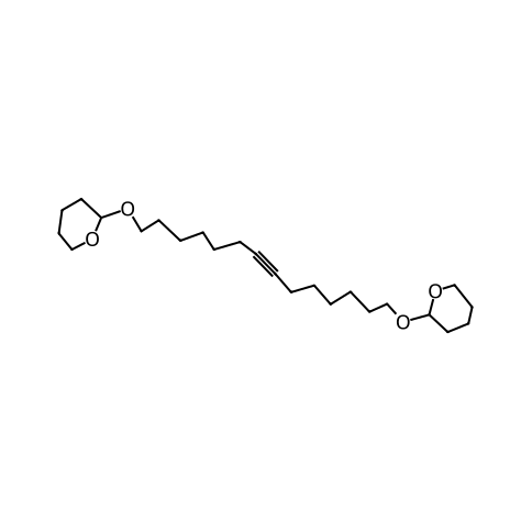 C(#CCCCCCCOC1CCCCO1)CCCCCCOC1CCCCO1